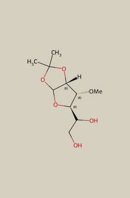 CO[C@@H]1[C@@H](C(O)CO)OC2OC(C)(C)O[C@@H]21